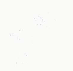 CCCCc1ncc(/C=C2/C(=O)N(CC(=O)OCC)c3ccccc32)n1Cc1ccc(-c2nnn(C(c3ccccc3)(c3ccccc3)c3ccccc3)n2)cc1